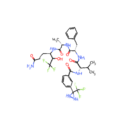 CC(C)[C@H](NC(=O)c1cccc(C2(C(F)(F)F)NN2)c1)C(=O)N[C@@H](Cc1ccccc1)C(=O)N[C@@H](C)C(=O)NC(CCC(N)=O)C(O)C(F)(F)F